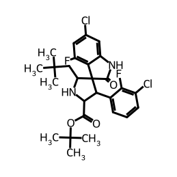 CC(C)(C)CC1NC(C(=O)OC(C)(C)C)C(c2cccc(Cl)c2F)C12C(=O)Nc1cc(Cl)cc(F)c12